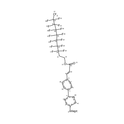 CCCCCCCc1cnc(-c2ccc(C=CC(=O)OCCC(F)(F)C(F)(F)C(F)(F)C(F)(F)C(F)(F)C(F)(F)C(F)(F)C(F)(F)F)cc2)nc1